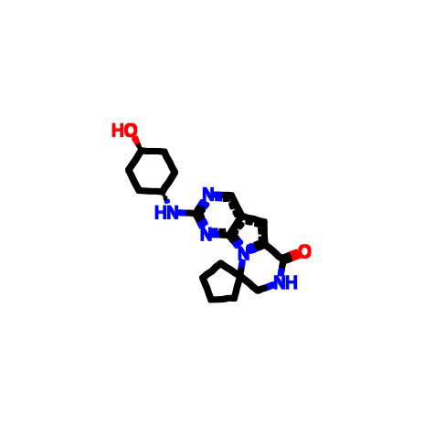 O=C1NCC2(CCCC2)n2c1cc1cnc(N[C@H]3CC[C@H](O)CC3)nc12